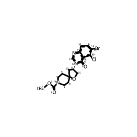 CC(C)(C)OC(=O)N1CCC2(CC1)C[C@H](n1cnc3ccc(Br)c(Cl)c3c1=O)CO2